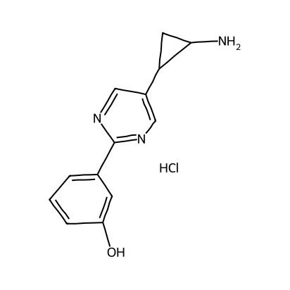 Cl.NC1CC1c1cnc(-c2cccc(O)c2)nc1